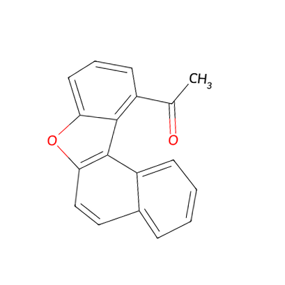 CC(=O)c1cccc2oc3ccc4ccccc4c3c12